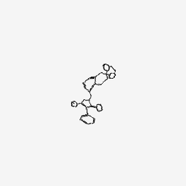 COC1=C(c2ccccc2)C(=O)C(Cc2cccc3c2CCC2(C3)OCCO2)C1